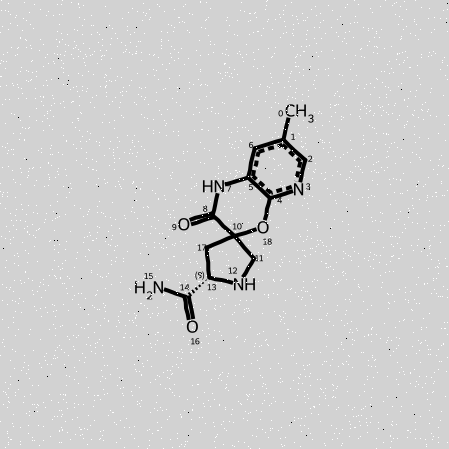 Cc1cnc2c(c1)NC(=O)C1(CN[C@H](C(N)=O)C1)O2